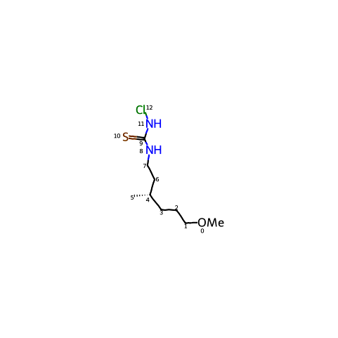 COCCC[C@H](C)CCNC(=S)NCl